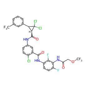 O=C(COC(F)(F)F)Nc1c(F)ccc(NC(=O)c2cc(NC(=O)[C@H]3C(c4cccc(C(F)(F)F)c4)C3(Cl)Cl)ccc2Cl)c1F